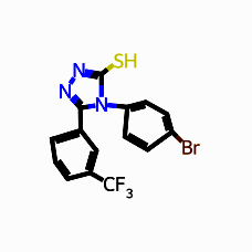 FC(F)(F)c1cccc(-c2nnc(S)n2-c2ccc(Br)cc2)c1